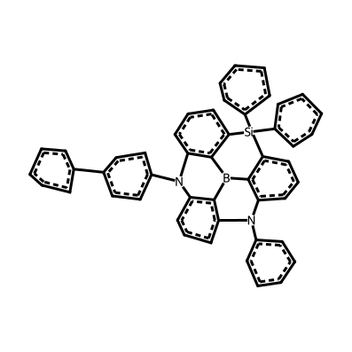 c1ccc(-c2ccc(N3c4cccc5c4B4c6c(cccc6[Si](c6ccccc6)(c6ccccc6)c6cccc3c64)N5c3ccccc3)cc2)cc1